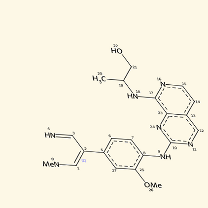 CN/C=C(\C=N)c1ccc(Nc2ncc3ccnc(NC(C)CO)c3n2)c(OC)c1